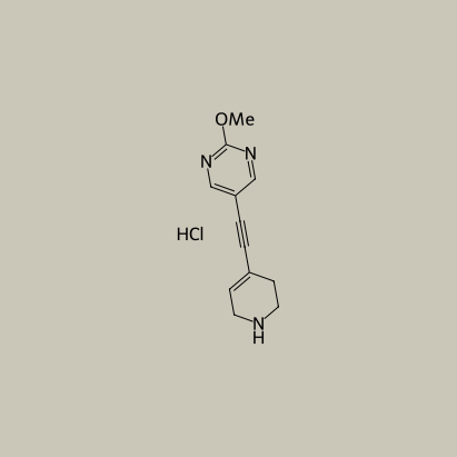 COc1ncc(C#CC2=CCNCC2)cn1.Cl